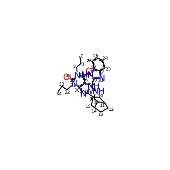 CCCn1c(=O)c2[nH]c(C3CC4CCC(C3)C4CNCc3nc4ccccc4[nH]3)nc2n(CCC)c1=O